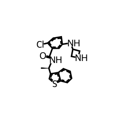 C[C@@H](NC(=O)c1cc(NC2CNC2)ccc1Cl)c1csc2ccccc12